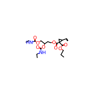 C=CC1CC1(C(=O)OCCC)C(=O)OCCC(COC(=O)NCC)OC(=O)NCC